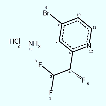 Cl.FC(F)[C@@H](F)c1cc(Br)ccn1.N